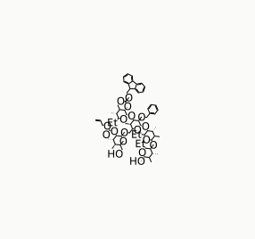 C=CCOC(=O)OC1[C@@H](OCC2O[C@@H](O[C@@H]3C(CC)O[C@@H](O[C@@H]4C(CC)O[C@@H](O)C(C)[C@H]4C)C(C)[C@H]3C)C(OCc3ccccc3)[C@@H](O[C@@H]3OC(CC)[C@H](C)C(C)[C@@H]3OC(=O)OCC3c4ccccc4-c4ccccc43)[C@@H]2C)OC(CO)[C@@H](C)[C@@H]1C